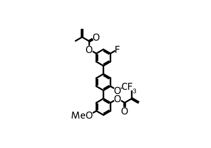 C=C(C)C(=O)Oc1cc(F)cc(-c2ccc(-c3cc(OC)ccc3OC(=O)C(=C)C)c(OC(F)(F)F)c2)c1